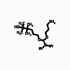 CC(C)N(C(C)C)P(OCCCN)OCCCC(C)(C)[Si](C)(C)O